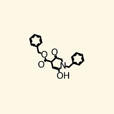 O=C1CN(Cc2ccccc2)C(O)=CC1C(=O)OCc1ccccc1